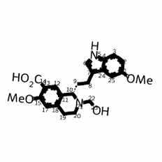 COc1ccc2[nH]cc(CC[C@H]3c4cc(C(=O)O)c(OC)cc4CCN3CO)c2c1